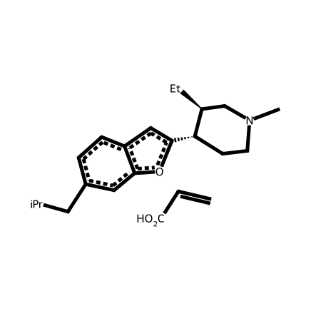 C=CC(=O)O.CC[C@H]1CN(C)CC[C@@H]1c1cc2ccc(CC(C)C)cc2o1